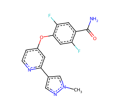 Cn1cc(-c2cc(Oc3cc(F)c(C(N)=O)cc3F)ccn2)cn1